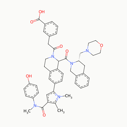 Cc1c(C(=O)N(C)c2ccc(O)cc2)cc(-c2ccc3c(c2)CCN(C(=O)Cc2cccc(C(=O)O)c2)C3C(=O)N2Cc3ccccc3C[C@H]2CN2CCOCC2)n1C